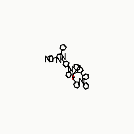 c1ccc(-c2cc(-c3ccncc3)nc(-c3ccc(N4c5ccccc5C5(c6ccccc6-c6ccccc6N(c6ccccc6)c6ccccc6-c6ccccc65)c5ccccc54)cc3)n2)cc1